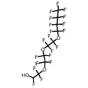 OC(F)C(F)(F)OC(F)(F)C(F)(F)OC(F)(F)C(F)(F)OC(F)(F)C(F)(F)C(F)(F)C(F)(F)F